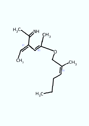 C/C=C(\C=C(/C)OC/C(C)=C\CCC)C(C)=N